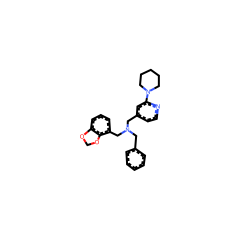 c1ccc(CN(Cc2ccnc(N3CCCCC3)c2)Cc2cccc3c2OCO3)cc1